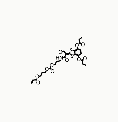 C=CC(=O)OCCCOC(=O)OCCCNC(=O)C(C=O)=C1Sc2c(OC(=O)CC)ccc(OC(=O)CC)c2S1